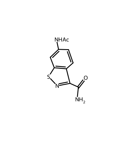 CC(=O)Nc1ccc2c(C(N)=O)nsc2c1